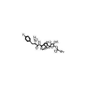 CC(C)C(=O)O[C@H]1O[C@@](C#N)(c2ccc3c(NC(=O)[C@@H](N)Cc4ccc(F)cc4)ncnn23)[C@H](O)[C@@H]1O